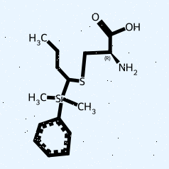 CCCC(SC[C@H](N)C(=O)O)[Si](C)(C)c1ccccc1